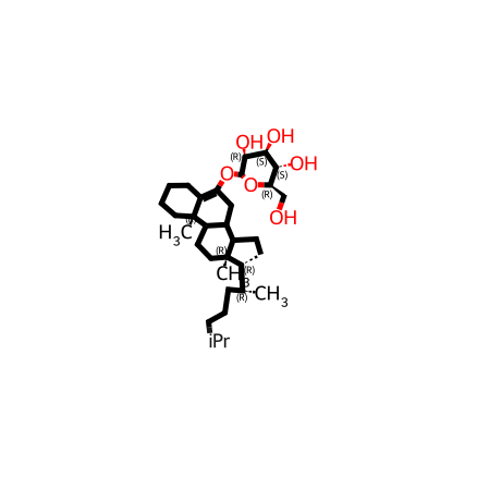 CC(C)CCC[C@@H](C)[C@H]1CCC2C3CC(OC4O[C@H](CO)[C@@H](O)[C@H](O)[C@H]4O)=C4CCCC[C@]4(C)C3CC[C@@]21C